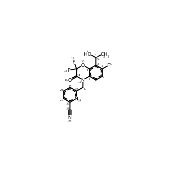 C[C@H](O)c1c(F)ccc2c1OC(F)(F)C(=O)N2Cc1cccc(C#N)n1